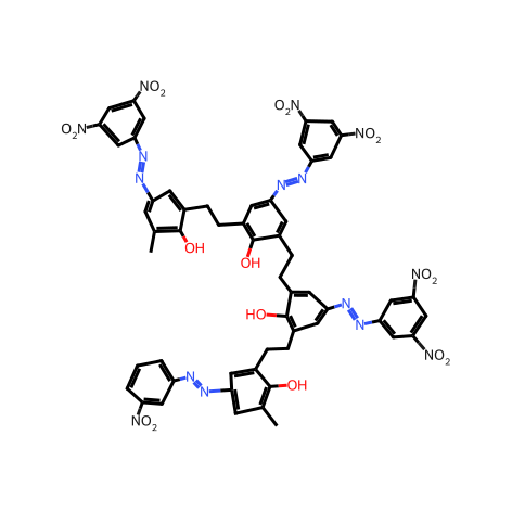 Cc1cc(N=Nc2cccc([N+](=O)[O-])c2)cc(CCc2cc(N=Nc3cc([N+](=O)[O-])cc([N+](=O)[O-])c3)cc(CCc3cc(N=Nc4cc([N+](=O)[O-])cc([N+](=O)[O-])c4)cc(CCc4cc(N=Nc5cc([N+](=O)[O-])cc([N+](=O)[O-])c5)cc(C)c4O)c3O)c2O)c1O